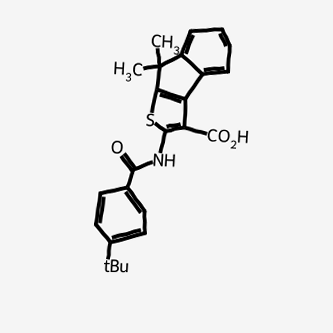 CC(C)(C)c1ccc(C(=O)Nc2sc3c(c2C(=O)O)-c2ccccc2C3(C)C)cc1